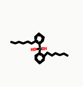 CCCCCCc1ccccc1[Si](O)(O)c1ccccc1CCCCCC